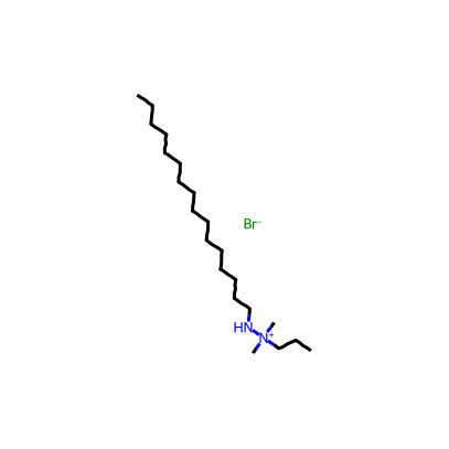 CCCCCCCCCCCCCCCCN[N+](C)(C)CCC.[Br-]